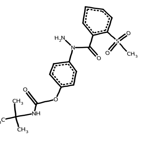 CC(C)(C)NC(=O)Oc1ccc(N(N)C(=O)c2ccccc2S(C)(=O)=O)cc1